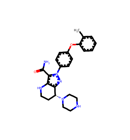 Cc1ccccc1Oc1ccc(-n2nc3c(c2C(N)=O)NCC[C@H]3N2CCNCC2)cc1